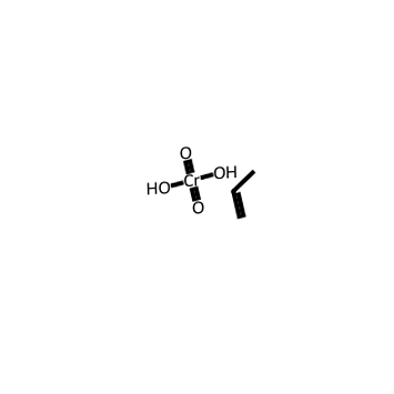 C=CC.[O]=[Cr](=[O])([OH])[OH]